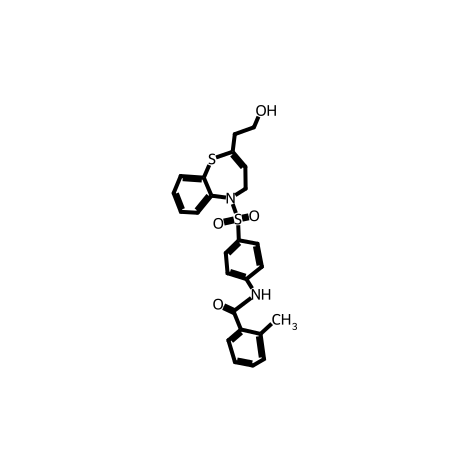 Cc1ccccc1C(=O)Nc1ccc(S(=O)(=O)N2CC=C(CCO)Sc3ccccc32)cc1